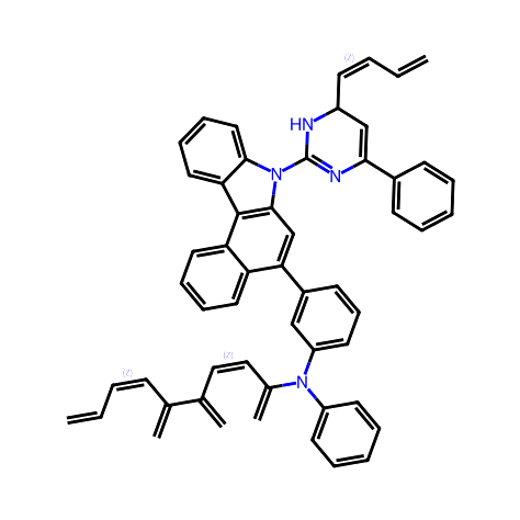 C=C/C=C\C(=C)C(=C)/C=C\C(=C)N(c1ccccc1)c1cccc(-c2cc3c(c4ccccc24)c2ccccc2n3C2=NC(c3ccccc3)=CC(/C=C\C=C)N2)c1